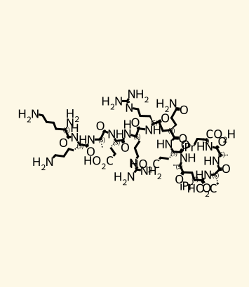 CC(C)C[C@H](NC(=O)[C@H](C)NC(=O)[C@H](CC(=O)O)NC(=O)[C@@H](CC(=O)[C@H](C)NC(=O)[C@H](CCC(=O)O)NC(=O)[C@H](CCC(N)=O)CC(=O)[C@H](CCCN=C(N)N)NC(=O)[C@H](CCCN=C(N)N)NC(=O)[C@H](CCC(=O)O)NC(=O)[C@H](C)NC(=O)[C@H](CCCCN)NC(=O)[C@@H](N)CCCCN)C(C)C)C(=O)O